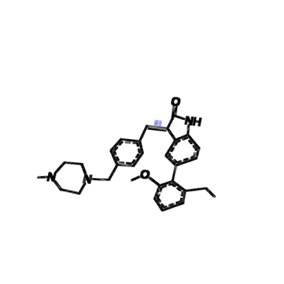 CCc1cccc(OC)c1-c1ccc2c(c1)/C(=C\c1ccc(CN3CCN(C)CC3)cc1)C(=O)N2